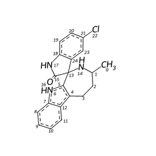 CC1CCc2c([nH]c3ccccc23)C2(N1)C(=O)Nc1ccc(Cl)cc12